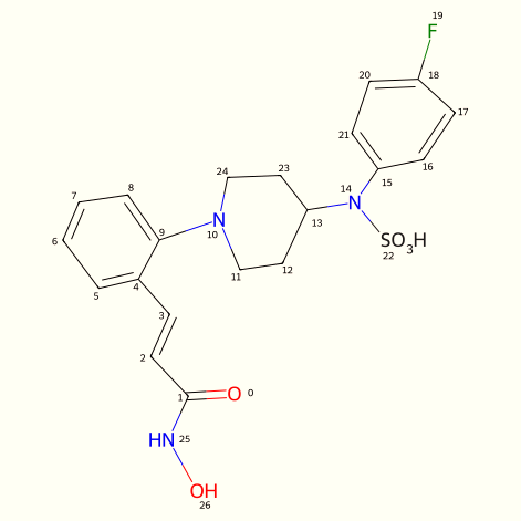 O=C(/C=C/c1ccccc1N1CCC(N(c2ccc(F)cc2)S(=O)(=O)O)CC1)NO